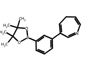 CC1(C)OB(c2cccc(C3=CCC=CN=C3)c2)OC1(C)C